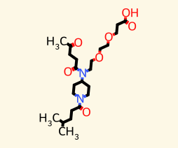 CC(=O)CCC(=O)N(CCOCCOCCC(=O)O)C1CCN(C(=O)CCC(C)C)CC1